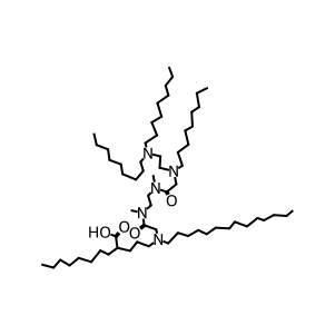 CCCCCCCCCCCCCCN(CCCC(CCCCCCCC)C(=O)O)CC(=O)N(C)CCN(C)C(=O)CN(CCCCCCCCC)CCN(CCCCCCCCC)CCCCCCCCC